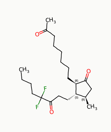 CCCCC(F)(F)C(=O)CC[C@H]1[C@H](C)CC(=O)[C@@H]1CCCCCCC(C)=O